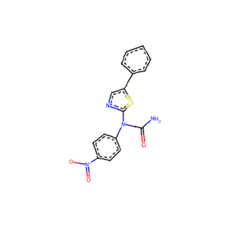 NC(=O)N(c1ccc([N+](=O)[O-])cc1)c1ncc(-c2ccccc2)s1